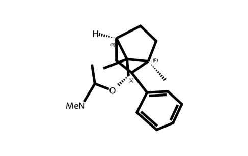 CNC(C)O[C@]1(c2ccccc2)C[C@H]2CC[C@]1(C)C2(C)C